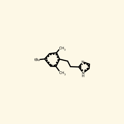 Cc1cc(C(C)(C)C)cc(C)c1CCc1ncc[nH]1